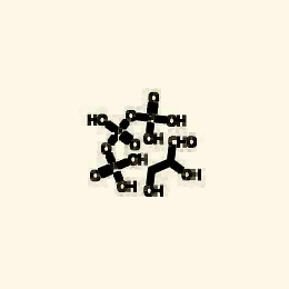 O=CC(O)CO.O=P(O)(O)OP(=O)(O)OP(=O)(O)O